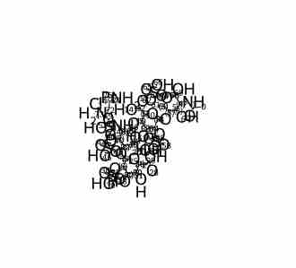 CC(=O)N[C@@H]1[C@@H](O)[C@H](O[C@@H]2O[C@H](C(=O)O)[C@@H](O[C@@H]3O[C@H](CO)[C@@H](O[C@H]4O[C@@H](C(=O)O)[C@H](O)[C@@H](O)[C@@H]4OS(=O)(=O)O)[C@H](OS(=O)(=O)O)[C@H]3NS(=O)(=O)O)[C@H](O)[C@H]2OS(=O)(=O)O)[C@H](COS(=O)(=O)O)O[C@H]1O.NCCN.[Cl][Pt]